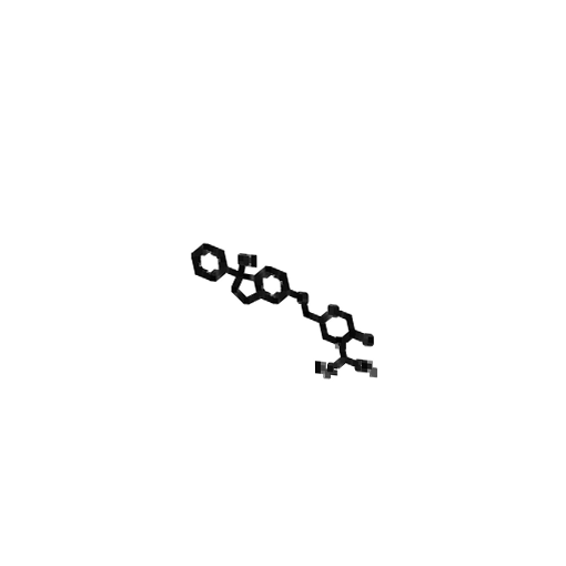 CC(C)N1CC(COc2ccc3c(c2)CCC3(O)c2ccccc2)OCC1=O